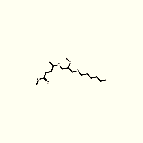 CCCCCCOCC(COC(C)CCC(=O)OC)OC